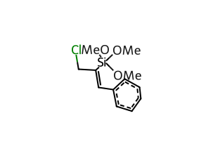 CO[Si](OC)(OC)C(=Cc1ccccc1)CCl